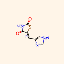 O=C1NC(=O)/C(=C/c2c[nH]cn2)S1